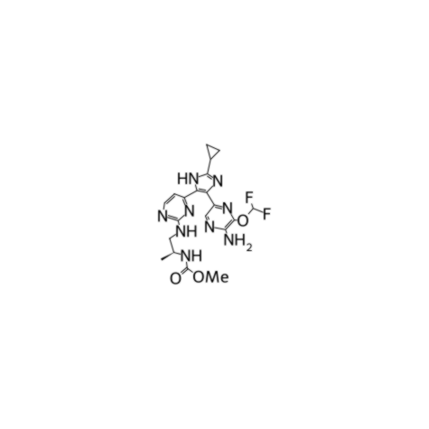 COC(=O)N[C@@H](C)CNc1nccc(-c2[nH]c(C3CC3)nc2-c2cnc(N)c(OC(F)F)n2)n1